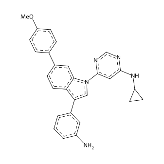 COc1ccc(-c2ccc3c(-c4cccc(N)c4)cn(-c4cc(NC5CC5)ncn4)c3c2)cc1